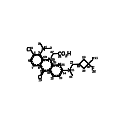 CN(C)c1c(Cl)ccc2c(=O)c3ccc(N(C)CC4CC(F)(F)C4)nc3n(CC(=O)O)c12